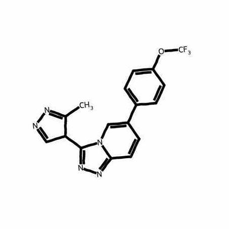 CC1=NN=CC1c1nnc2ccc(-c3ccc(OC(F)(F)F)cc3)cn12